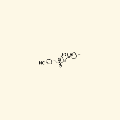 N#Cc1ccc(CCS(=O)(=O)C[C@H](CCc2ccc(F)cc2)NC(=O)O)cc1